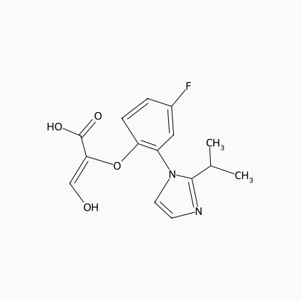 CC(C)c1nccn1-c1cc(F)ccc1O/C(=C\O)C(=O)O